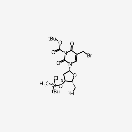 [3H]C[C@H]1O[C@@H](n2cc(CBr)c(=O)n(C(=O)OC(C)(C)C)c2=O)CC1O[Si](C)(C)C(C)(C)C